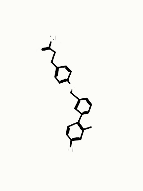 Cc1cc(Cl)ccc1-c1cccc(COc2ccc(CCC(N)=O)cc2)c1